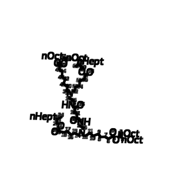 CCCCCCCCC(CCCCCCCC)OC(=O)CCCCCCCN(CCCCCC(=O)OCC(C)CCCCCCC)CCNC(=O)CCC(=O)NCCN(CCCCCCCC(=O)OC(CCCCCCCC)CCCCCCCC)CCCCCC(=O)OCC(C)CCCCCCC